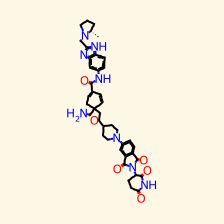 C[C@H]1CCCN1Cc1nc2cc(NC(=O)C3=CCC(CCC4CCN(c5ccc6c(c5)C(=O)N(C5CCC(=O)NC5=O)C6=O)CC4)(C(N)=O)C=C3)ccc2[nH]1